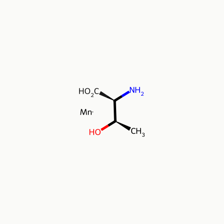 C[C@@H](O)[C@H](N)C(=O)O.[Mn]